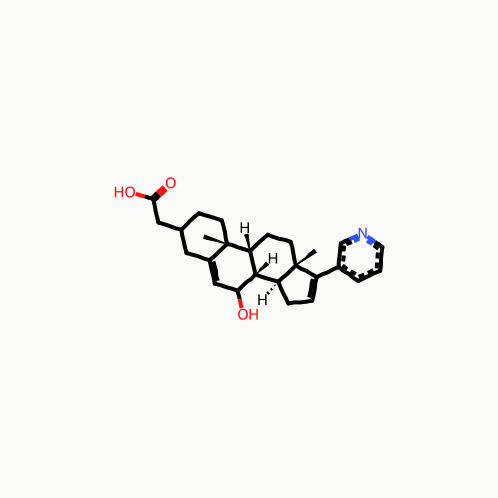 C[C@]12CCC(CC(=O)O)CC1=CC(O)[C@@H]1[C@H]2CC[C@]2(C)C(c3cccnc3)=CC[C@@H]12